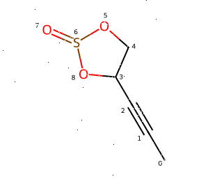 CC#CC1COS(=O)O1